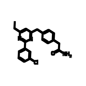 CCc1cc(Cc2ccc(CC(N)=O)cc2)nc(-c2cccc(Cl)c2)n1